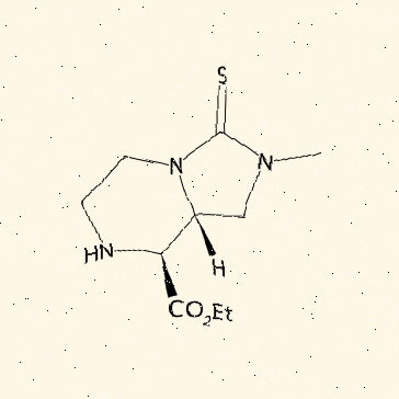 CCOC(=O)[C@H]1NCCN2C(=S)N(C)C[C@H]12